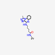 Cc1nnc2c(NCCCCC(=O)NCC(C)C)nc3ccccc3n12